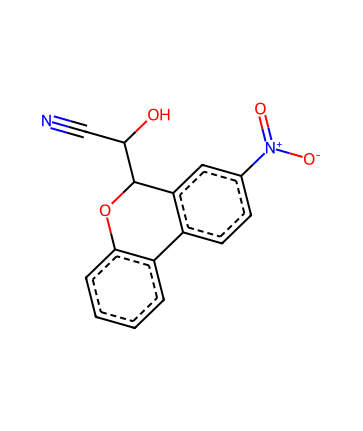 N#CC(O)C1Oc2ccccc2-c2ccc([N+](=O)[O-])cc21